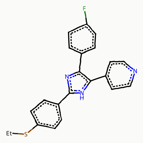 CCSc1ccc(-c2nc(-c3ccc(F)cc3)c(-c3ccncc3)[nH]2)cc1